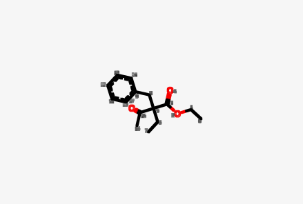 CCOC(=O)C(CC)(Cc1ccccc1)C(C)=O